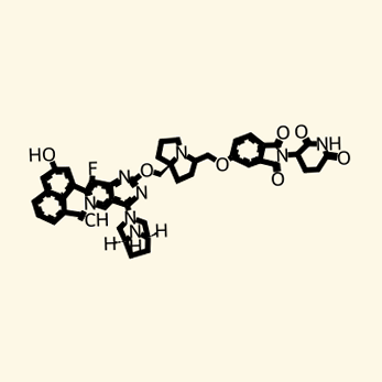 C#Cc1cccc2cc(O)cc(-c3ncc4c(N5C[C@H]6CC[C@@H](C5)N6)nc(OC[C@@]56CCCN5C(COc5ccc7c(c5)C(=O)N(C5CCC(=O)NC5=O)C7=O)CC6)nc4c3F)c12